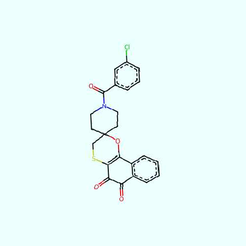 O=C1C(=O)c2ccccc2C2=C1SCC1(CCN(C(=O)c3cccc(Cl)c3)CC1)O2